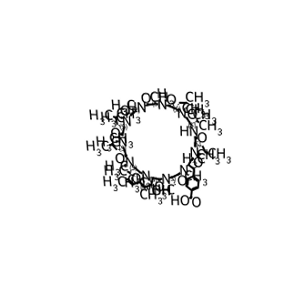 CC=CC[C@@H](C)[C@@H](O)[C@H]1C(=O)N[C@@H](CC)C(=O)N(C)C(Cc2ccc(C(=O)O)cc2)C(=O)N(C)[C@@H](CC(C)C)C(=O)N[C@@H](C(C)C)C(=O)N(C)[C@@H](CC(C)C)C(=O)N[C@@H](C)C(=O)N[C@H](C)C(=O)N(C)[C@@H](CC(C)C)C(=O)N(C)[C@@H](CC(C)C)C(=O)N(C)[C@@H](C(C)C)C(=O)N1C